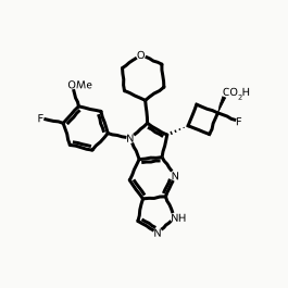 COc1cc(-n2c(C3CCOCC3)c([C@H]3C[C@](F)(C(=O)O)C3)c3nc4[nH]ncc4cc32)ccc1F